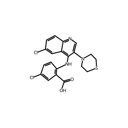 O=C(O)c1cc(Cl)ccc1Nc1c(N2CCSCC2)cnc2ccc(Cl)cc12